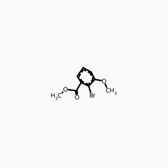 COC(=O)c1cccc(OC)c1Br